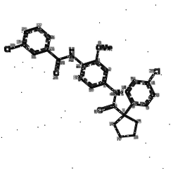 COc1cc(NC(=O)C2(c3ccc(Cl)cc3)CCCC2)cnc1NC(=O)c1cccc(Cl)c1